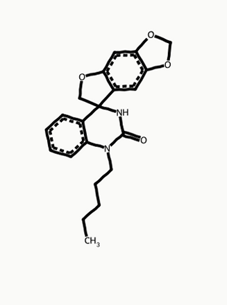 CCCCCN1C(=O)NC2(COc3cc4c(cc32)OCO4)c2ccccc21